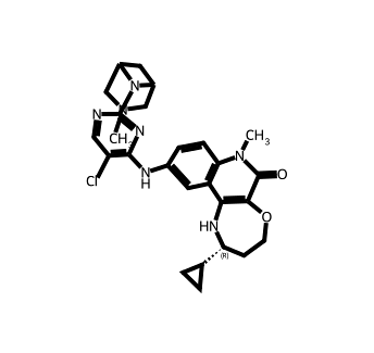 CN1CC2CC(C1)N2c1ncc(Cl)c(Nc2ccc3c(c2)c2c(c(=O)n3C)OCC[C@H](C3CC3)N2)n1